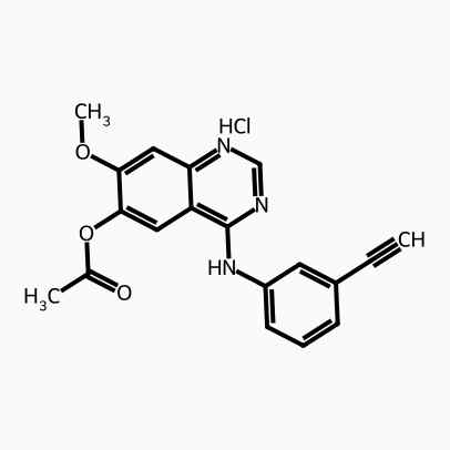 C#Cc1cccc(Nc2ncnc3cc(OC)c(OC(C)=O)cc23)c1.Cl